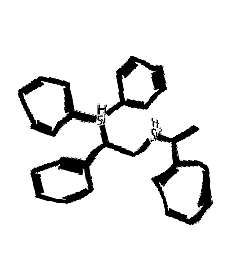 C=C([SiH2]CC(c1ccccc1)[SiH](c1ccccc1)c1ccccc1)c1ccccc1